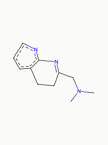 CN(C)CC1=Nc2ncccc2CC1